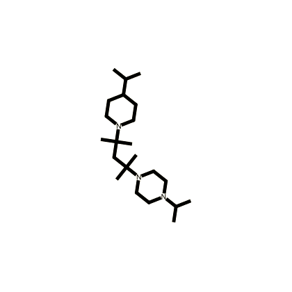 CC(C)C1CCN(C(C)(C)CC(C)(C)N2CCN(C(C)C)CC2)CC1